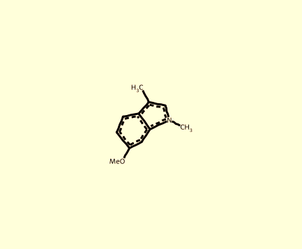 COc1ccc2c(C)cn(C)c2c1